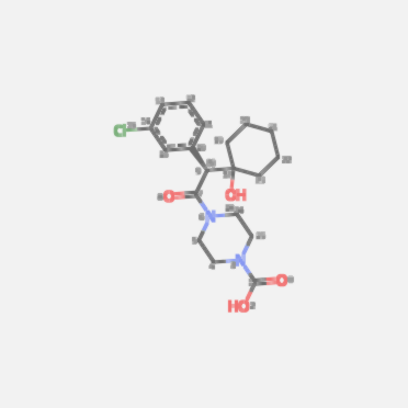 O=C(O)N1CCN(C(=O)[C@@H](c2cccc(Cl)c2)C2(O)CCCCC2)CC1